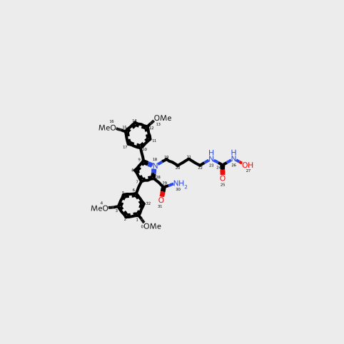 COc1cc(OC)cc(-c2cc(-c3cc(OC)cc(OC)c3)n(CCCCNC(=O)NO)c2C(N)=O)c1